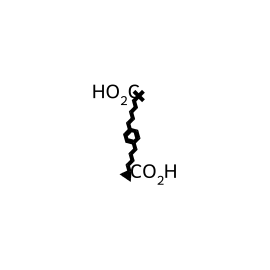 CC(C)(CCCCCc1ccc(CCCCC2(C(=O)O)CC2)cc1)C(=O)O